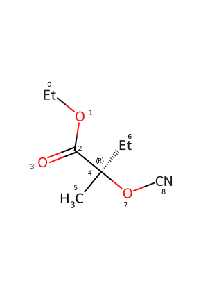 CCOC(=O)[C@@](C)(CC)OC#N